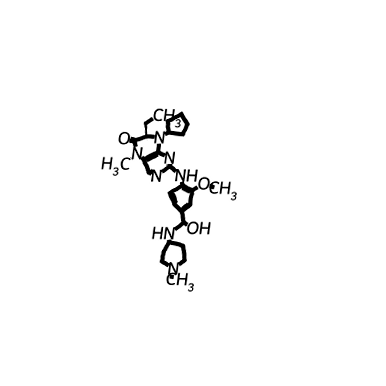 CC[C@@H]1C(=O)N(C)c2cnc(Nc3ccc(C(O)NC4CCN(C)CC4)cc3OC)nc2N1C1CCCC1